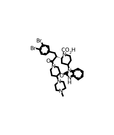 CN1CCN(C2CCN(C(=O)C(Cc3ccc(Br)c(Br)c3)[C@H]3CC(n4c(=O)[nH]c5ccccc54)CCN3C(=O)O)CC2)CC1